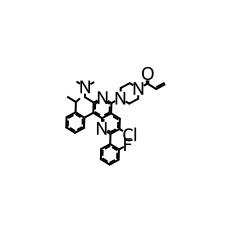 C=CC(=O)N1CCN(c2nc(CN(C)C)c(-c3ccccc3C(C)C)c3nc(-c4ccccc4F)c(Cl)cc23)CC1